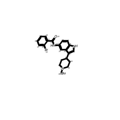 CCCCN1CCC(c2c[nH]c3ccc(NC(=O)c4ccccc4Br)cc23)CC1